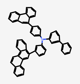 c1ccc(-c2cccc(N(c3ccc(-c4cc5ccccc5c5ccccc45)cc3)c3cccc(-c4cc5c6ccccc6ccc5c5ccccc45)c3)c2)cc1